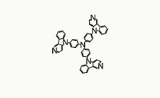 c1ccc2c(c1)c1cnccc1n2-c1ccc(N(c2ccc(-n3c4ccccc4c4cnccc43)cc2)c2ccc(-n3c4ccccc4c4cnccc43)cc2)cc1